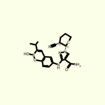 CC(C)C1=Cc2cc(Nc3nn([C@H]4CCCC[C@@H]4C#N)cc3C(N)=O)ccc2OB1O